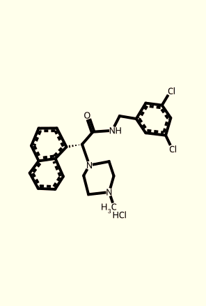 CN1CCN([C@@H](C(=O)NCc2cc(Cl)cc(Cl)c2)c2cccc3ccccc23)CC1.Cl